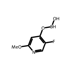 COc1cc(OBO)c(F)cn1